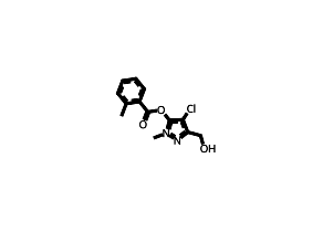 Cc1ccccc1C(=O)Oc1c(Cl)c(CO)nn1C